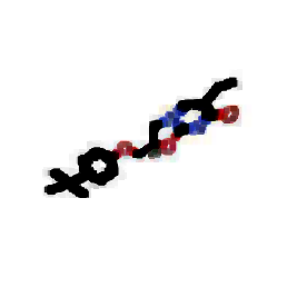 CCc1cn2c(nc1=O)O[C@@H](COc1ccc(C(C)(C)C)cc1)C2